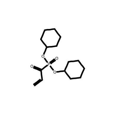 C=CC(=O)P(=O)(OC1CCCCC1)OC1CCCCC1